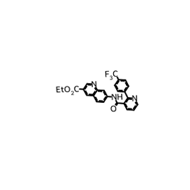 CCOC(=O)c1cnc2cc(NC(=O)c3cccnc3-c3ccc(C(F)(F)F)cc3)ccc2c1